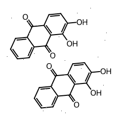 O=C1c2ccccc2C(=O)c2c1ccc(O)c2O.O=C1c2ccccc2C(=O)c2c1ccc(O)c2O